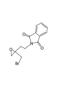 O=C1c2ccccc2C(=O)N1CCC1(CBr)CO1